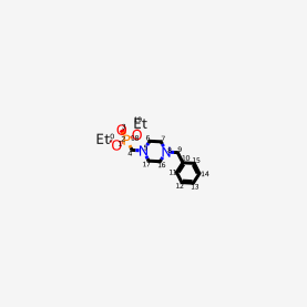 CCOP(=O)(CN1CCN(Cc2ccccc2)CC1)OCC